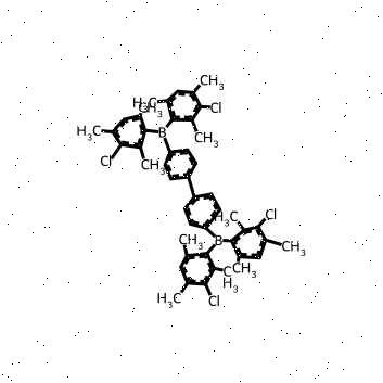 Cc1cc(C)c(B(c2ccc(-c3ccc(B(c4c(C)cc(C)c(Cl)c4C)c4c(C)cc(C)c(Cl)c4C)cc3)cc2)c2c(C)cc(C)c(Cl)c2C)c(C)c1Cl